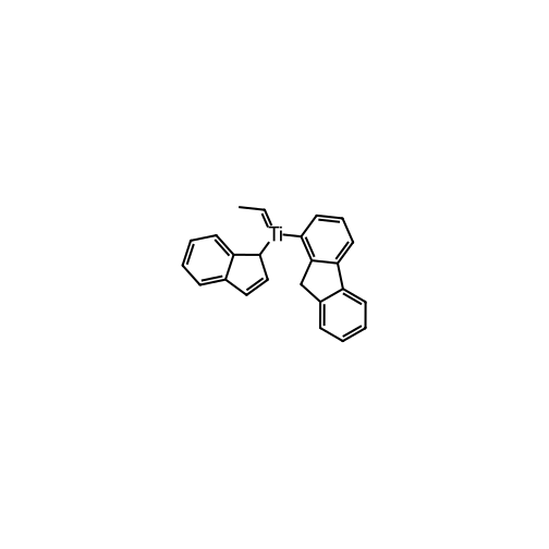 C/[CH]=[Ti](/[c]1cccc2c1Cc1ccccc1-2)[CH]1C=Cc2ccccc21